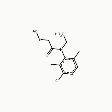 CC(=O)SCC(=O)N(CC(=O)O)c1c(C)ccc(Cl)c1C